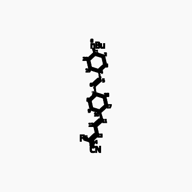 CCCC[C@H]1CC[C@H](C=C[C@H]2CC[C@H](C=CC=C(F)C#N)CC2)CC1